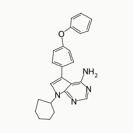 Nc1ncnc2c1c(-c1ccc(Oc3ccccc3)cc1)cn2C1CCCCC1